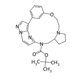 CC(C)(C)OC(=O)N1CC2CCCN2CCOc2cccc(c2)-c2cnn3ccc1nc23